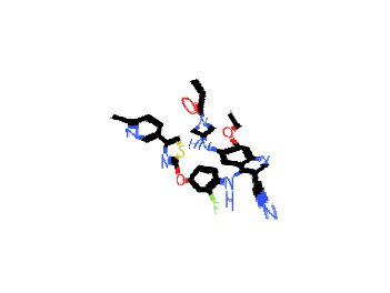 C=CC(=O)N1CC(Nc2cc3c(Nc4ccc(Oc5nc(-c6ccc(C)nc6)cs5)cc4F)c(C#N)cnc3cc2OCC)C1